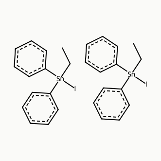 C[CH2][Sn]([I])([c]1ccccc1)[c]1ccccc1.C[CH2][Sn]([I])([c]1ccccc1)[c]1ccccc1